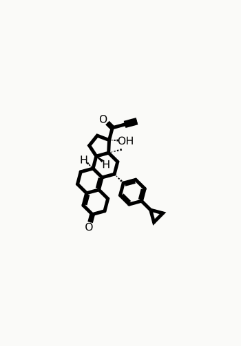 C#CC(=O)[C@]1(O)CC[C@H]2[C@@H]3CCC4=CC(=O)CCC4=C3[C@@H](c3ccc(C4CC4)cc3)C[C@@]21C